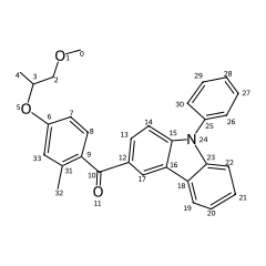 COCC(C)Oc1ccc(C(=O)c2ccc3c(c2)c2ccccc2n3-c2ccccc2)c(C)c1